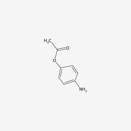 CC(=O)Oc1ccc(N)cc1